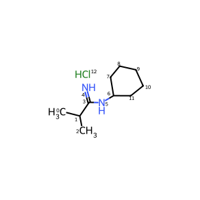 CC(C)C(=N)NC1CCCCC1.Cl